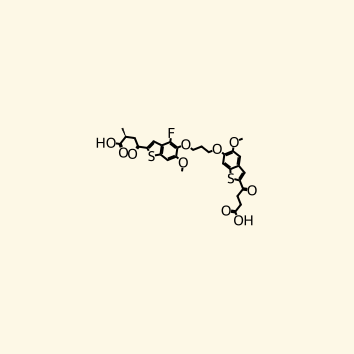 COc1cc2cc(C(=O)CCC(=O)O)sc2cc1OCCCOc1c(OC)cc2sc(C(=O)C[C@H](C)C(=O)O)cc2c1F